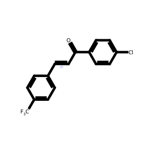 O=C(/C=C/c1ccc(C(F)(F)F)cc1)c1ccc(Cl)cc1